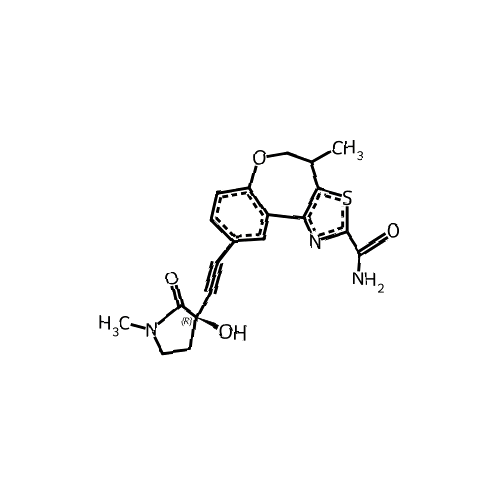 CC1COc2ccc(C#C[C@]3(O)CCN(C)C3=O)cc2-c2nc(C(N)=O)sc21